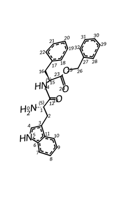 N[C@@H](Cc1c[nH]c2ccccc12)C(=O)N[C@@H](Cc1ccccc1)C(=O)OCc1ccccc1